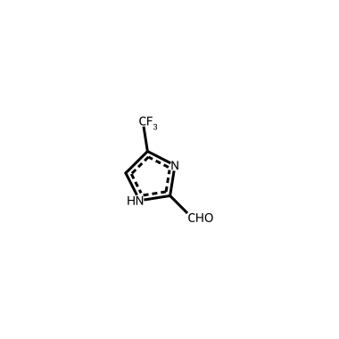 O=Cc1nc(C(F)(F)F)c[nH]1